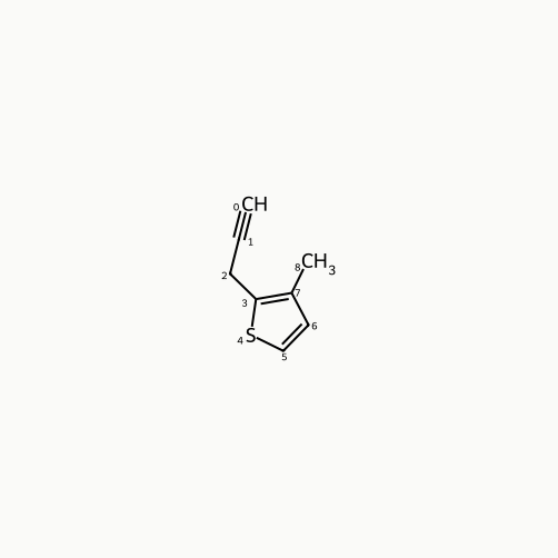 C#CCc1sccc1C